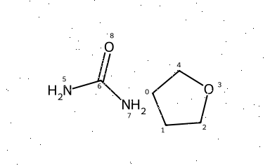 C1CCOC1.NC(N)=O